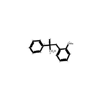 COc1ccccc1CC(C)(C(=O)O)c1ccccc1